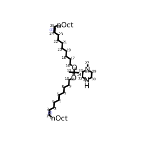 CCCCCCCC/C=C\CCCCCCCCOC(C)(C)OCCCCCCCC/C=C\CCCCCCCC.CN1CCNCC1